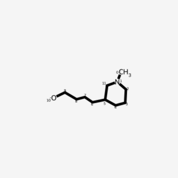 CN1CCCC(CCCC[O])C1